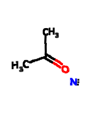 CC(C)=O.[N]